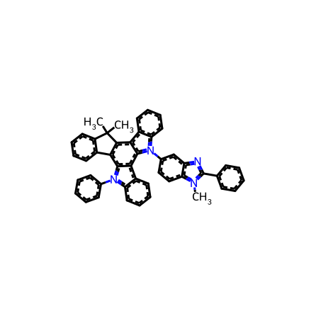 Cn1c(-c2ccccc2)nc2cc(-n3c4ccccc4c4c5c(c6c(c7ccccc7n6-c6ccccc6)c43)-c3ccccc3C5(C)C)ccc21